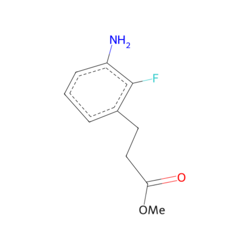 COC(=O)CCc1cccc(N)c1F